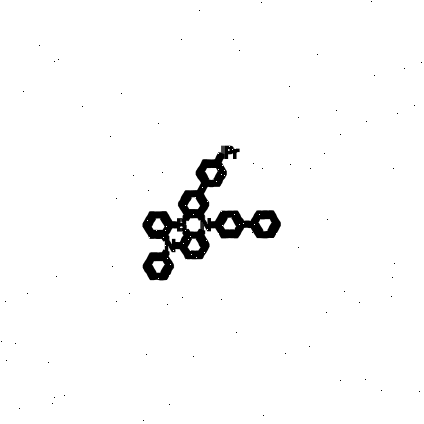 CC(C)c1ccc(-c2ccc3c(c2)N(c2ccc(-c4ccccc4)cc2)c2cccc4c2B3c2ccccc2N4c2ccccc2)cc1